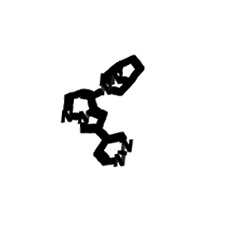 c1cc(-c2cc3c(N4CC5CCC(C4)N5)ccnn3c2)cnn1